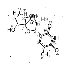 Cc1cn([C@@H]2OC3([C@H](O)I)[C@H](C)O[C@@H]2[C@@H]3O)c(=O)[nH]c1=O